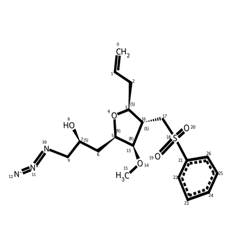 C=CC[C@@H]1O[C@H](C[C@H](O)CN=[N+]=[N-])[C@H](OC)[C@H]1CS(=O)(=O)c1ccccc1